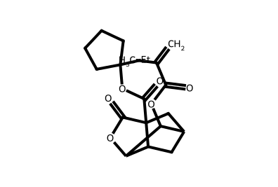 C=C(C)C(=O)OC1C2CC3C1OC(=O)C3(C(=O)OC1(CC)CCCC1)C2